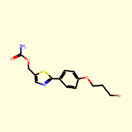 NC(=O)OCc1cnc(-c2ccc(OCCCBr)cc2)s1